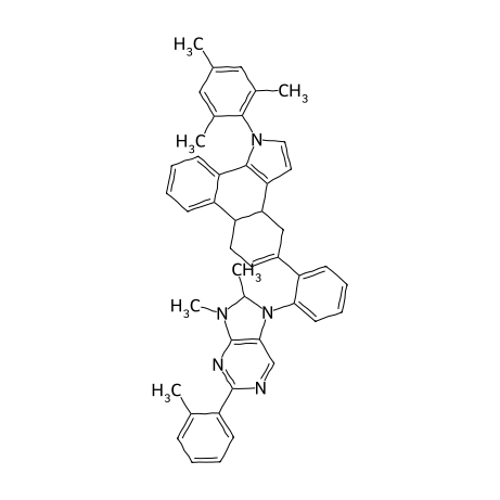 Cc1cc(C)c(-n2ccc3c2-c2ccccc2C2CC=C(c4ccccc4N4c5cnc(-c6ccccc6C)nc5N(C)C4C)CC32)c(C)c1